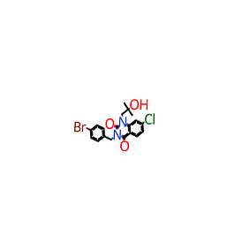 CC(C)(O)Cn1c(=O)n(Cc2ccc(Br)cc2)c(=O)c2ccc(Cl)cc21